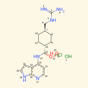 Cl.Cl.N=C(N)NC[C@H]1CC[C@H](C(=O)Nc2ccnc3[nH]ccc23)CC1.O